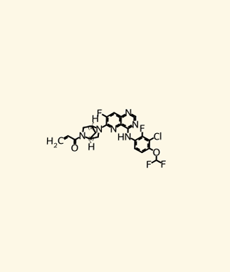 C=CC(=O)N1C[C@@H]2C[C@H]1CN2c1nc2c(Nc3ccc(OC(F)F)c(Cl)c3F)ncnc2cc1F